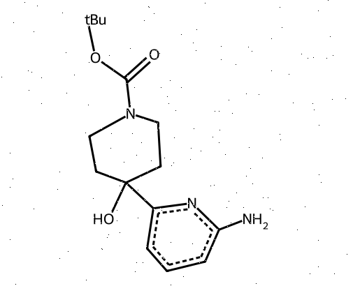 CC(C)(C)OC(=O)N1CCC(O)(c2cccc(N)n2)CC1